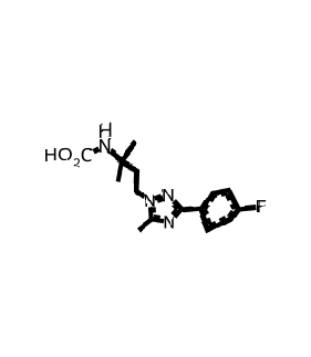 Cc1nc(-c2ccc(F)cc2)nn1CCC(C)(C)NC(=O)O